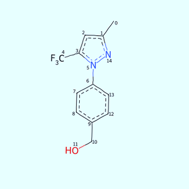 Cc1cc(C(F)(F)F)n(-c2ccc(CO)cc2)n1